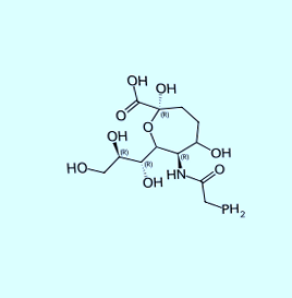 O=C(CP)N[C@@H]1C(O)CC[C@](O)(C(=O)O)OC1[C@H](O)[C@H](O)CO